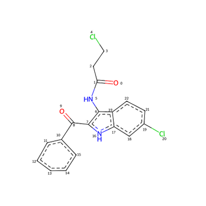 O=C(CCCl)Nc1c(C(=O)c2ccccc2)[nH]c2cc(Cl)ccc12